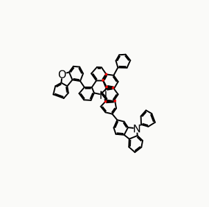 c1ccc(-c2ccc(N(c3ccc(-c4ccc5c6ccccc6n(-c6ccccc6)c5c4)cc3)c3cccc(-c4cccc5oc6ccccc6c45)c3-c3ccccc3-c3ccccc3)cc2)cc1